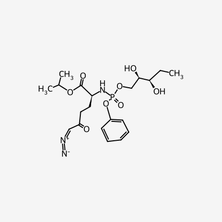 CC[C@@H](O)[C@H](O)COP(=O)(N[C@@H](CCC(=O)C=[N+]=[N-])C(=O)OC(C)C)Oc1ccccc1